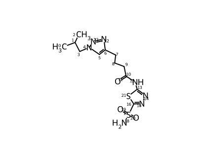 CC(C)Cn1cc(CCCC(=O)Nc2nnc(S(N)(=O)=O)s2)nn1